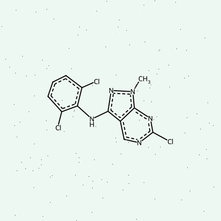 Cn1nc(Nc2c(Cl)cccc2Cl)c2cnc(Cl)nc21